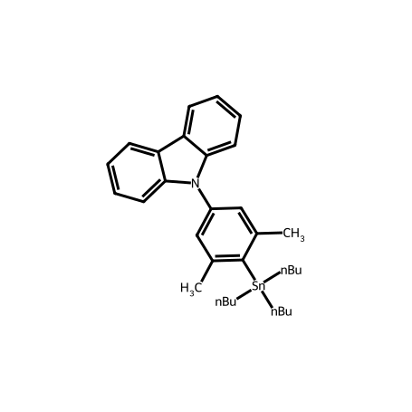 CCC[CH2][Sn]([CH2]CCC)([CH2]CCC)[c]1c(C)cc(-n2c3ccccc3c3ccccc32)cc1C